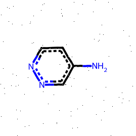 Nc1[c]nncc1